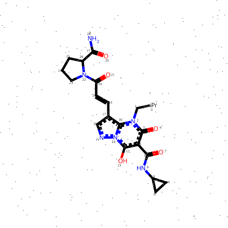 CC(C)Cn1c(=O)c(C(=O)NC2CC2)c(O)n2ncc(C=CC(=O)N3CCCC3C(N)=O)c12